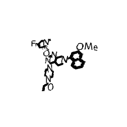 C=CC(=O)N1CCN(c2nc(OC[C@@H]3C[C@@H](F)CN3C)nc3c2CCN(c2cc(OC)cc4ccccc24)C3)CC1